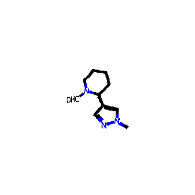 Cn1cc(C2CCCCN2C=O)cn1